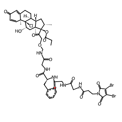 CCC(=O)O[C@]1(C(=O)COCNC(=O)CNC(=O)[C@H](Cc2ccccc2)NC(=O)CNC(=O)CNC(=O)CCN2C(=O)C(Br)=C(Br)C2=O)[C@@H](C)C[C@H]2[C@@H]3CCC4=CC(=O)C=C[C@]4(C)[C@@]3(Cl)[C@@H](O)C[C@@]21C